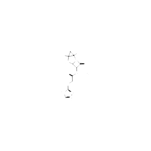 CC12CC1(C(=O)[O-])N1C(=O)C(NC(=O)CSc3nncs3)[C@H]1S2.[Na+]